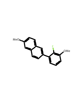 COc1ccc2[c]c(-c3cccc(OC)c3F)ccc2c1